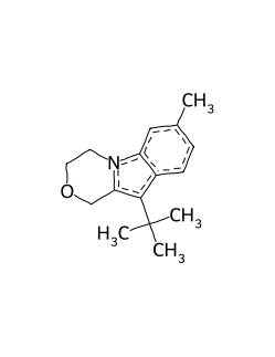 Cc1ccc2c(C(C)(C)C)c3n(c2c1)CCOC3